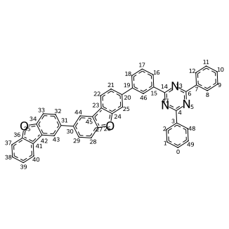 c1ccc(-c2nc(-c3ccccc3)nc(-c3cccc(-c4ccc5c(c4)oc4ccc(-c6ccc7oc8ccccc8c7c6)cc45)c3)n2)cc1